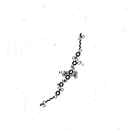 C=CC(=O)OCCCCCCOc1ccc(C(=O)Oc2ccc(N=Nc3ccc(-c4ccc(N=Nc5ccc(OC(=O)c6ccc(OCCCCCCOC(=O)C=C)cc6)c(C(F)(F)F)c5)cc4N[SH](=O)=O)c(S(N)(=O)=O)c3)cc2C)cc1